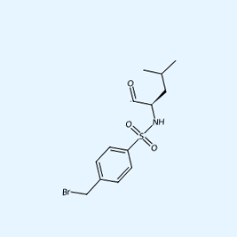 CC(C)C[C@H]([C]=O)NS(=O)(=O)c1ccc(CBr)cc1